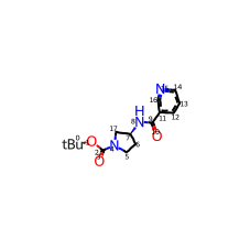 CC(C)(C)OC(=O)N1CC[C@H](NC(=O)c2cccnc2)C1